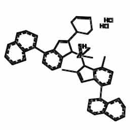 CC1=Cc2c(-c3cccc4ccccc34)ccc(C)c2[CH]1[Zr]([CH3])([CH3])(=[SiH2])[CH]1C(C2CC=CCC2)=Cc2c(-c3cccc4ccccc34)cccc21.Cl.Cl